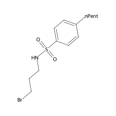 CCCCCc1ccc(S(=O)(=O)NCCCBr)cc1